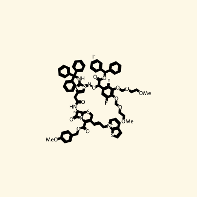 COCCOCOc1c(F)cc(C(ON=S2C=C(CC(=O)N[C@H]3C(=O)N4C(C(=O)OCc5ccc(OC)cc5)=C(C=CC[n+]5cccc6ccsc65)CSC34)N=C2NC(c2ccccc2)(c2ccccc2)c2ccccc2)C(=O)OC(c2ccccc2)c2ccccc2)c(F)c1OCOCCOC.[I-]